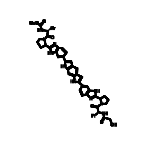 COC(=O)N[C@@H](C(=O)N1CCCC1c1nc2ccc(-c3cc4cc5cc(-c6ccc7nc(C8CCCN8C(=O)[C@@H](NC(=O)CO)C(C)C)[nH]c7c6)[nH]c5cc4[nH]3)cc2[nH]1)C(C)C